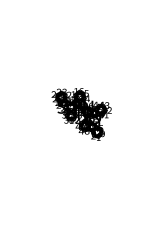 c1ccc2c(c1)oc1c(-c3nc(-n4c5ccccc5c5c6c7ccccc7sc6c6ccccc6c54)nc4c3oc3ccccc34)cccc12